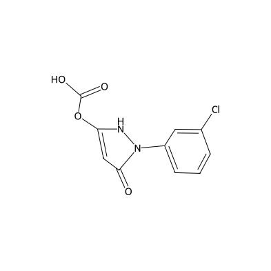 O=C(O)Oc1cc(=O)n(-c2cccc(Cl)c2)[nH]1